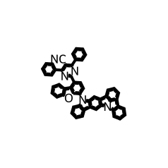 N#Cc1c(-c2ccccc2)nc(-c2ccc(-n3c4ccccc4c4cc5c(cc43)c3cccc4c6ccccc6n5c43)c3oc4ccccc4c23)nc1-c1ccccc1